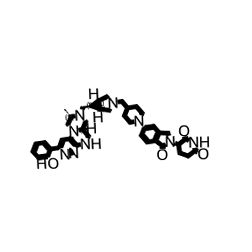 C[C@H]1CN2c3cc(-c4ccccc4O)nnc3NC[C@H]2CN1C[C@H]1[C@@H]2CN(CC3CCN(c4ccc5c(c4)CN(C4CCC(=O)NC4=O)C5=O)CC3)C[C@@H]21